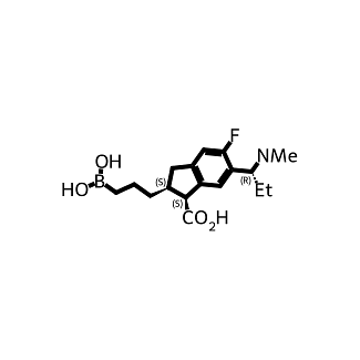 CC[C@@H](NC)c1cc2c(cc1F)C[C@H](CCCB(O)O)[C@@H]2C(=O)O